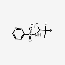 CC(NS(=O)(=O)c1cccnc1)C(F)(F)F